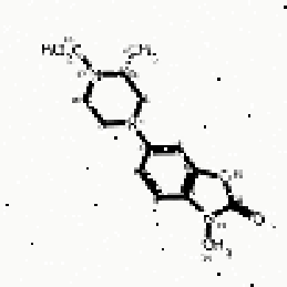 C[C@@H]1CN(c2ccc3c(c2)oc(=O)n3C)CCN1C(=O)O